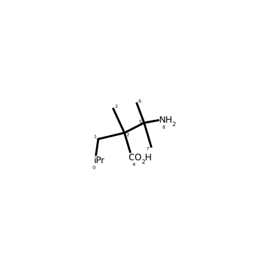 CC(C)CC(C)(C(=O)O)C(C)(C)N